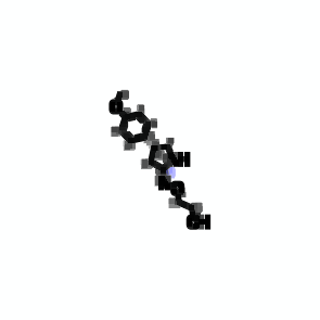 COc1ccc([C@@H]2CN/C(=N\OCCO)C2)cc1